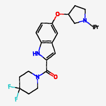 CC(C)N1CCC(Oc2ccc3[nH]c(C(=O)N4CCC(F)(F)CC4)cc3c2)C1